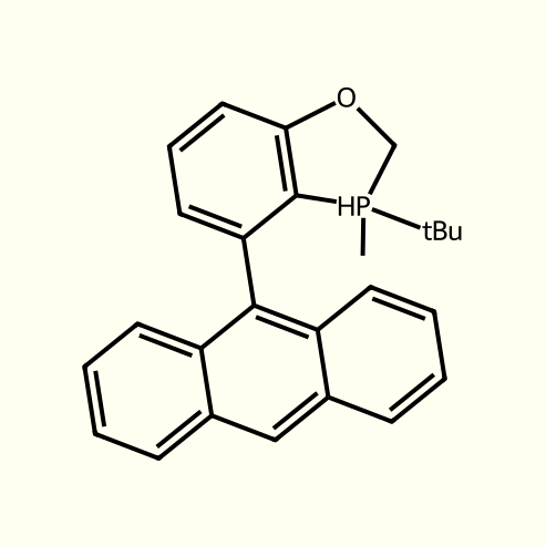 CC(C)(C)[PH]1(C)COc2cccc(-c3c4ccccc4cc4ccccc34)c21